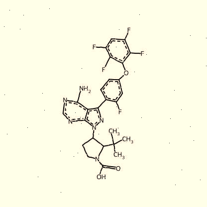 CC(C)(C)C1C(n2nc(-c3ccc(Oc4c(F)c(F)cc(F)c4F)cc3F)c3c(N)ncnc32)CCN1C(=O)O